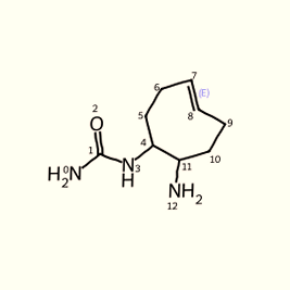 NC(=O)NC1CC/C=C/CCC1N